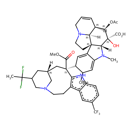 CC[C@]12C=CCN3CC[C@@]4(C5=CC([C@@]6(C(=O)OC)C[C@H]7CC(C(C)(F)F)CN(CCc8c6[nH]c6ccc(C(F)(F)F)cc86)C7)C(OC)C=C5N(C)[C@H]4[C@@](O)(C(=O)O)[C@@H]1OC(C)=O)[C@@H]32